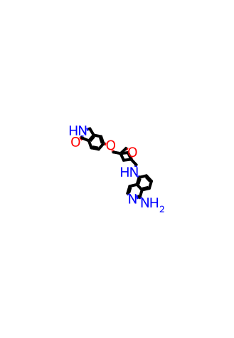 Nc1nccc2c(NCC34CC(COc5ccc6c(c5)CNC6=O)(CO3)C4)cccc12